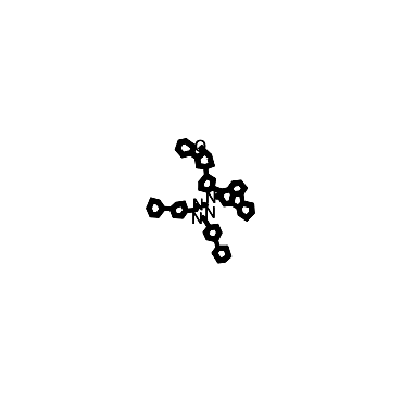 c1ccc(-c2ccc(-c3nc(-c4ccc(-c5ccccc5)cc4)nc(-n4c5ccc(-c6ccc7oc8ccccc8c7c6)cc5c5c6cccc7c6c(cc54)-c4ccccc4-7)n3)cc2)cc1